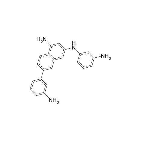 Nc1cccc(Nc2cc(N)c3ccc(-c4cccc(N)c4)cc3c2)c1